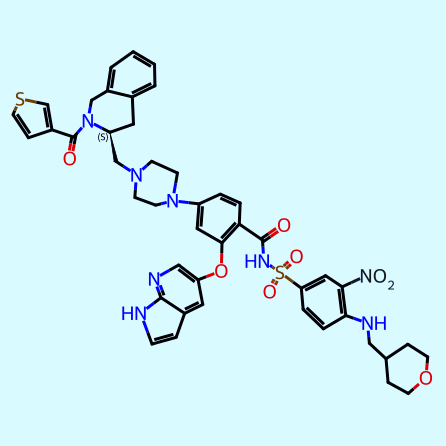 O=C(NS(=O)(=O)c1ccc(NCC2CCOCC2)c([N+](=O)[O-])c1)c1ccc(N2CCN(C[C@@H]3Cc4ccccc4CN3C(=O)c3ccsc3)CC2)cc1Oc1cnc2[nH]ccc2c1